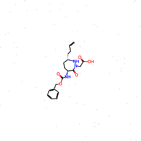 C=CCC[C@H]1CC[C@H](NC(=O)OCc2ccccc2)C(=O)N(CC(=O)O)N1